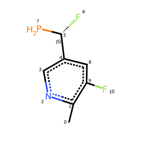 Cc1ncc([C@@H](F)P)cc1F